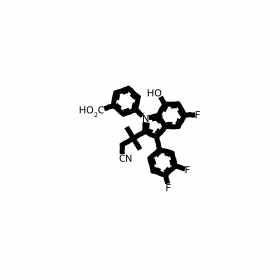 CC(C)(CC#N)c1c(-c2ccc(F)c(F)c2)c2cc(F)cc(O)c2n1-c1cccc(C(=O)O)c1